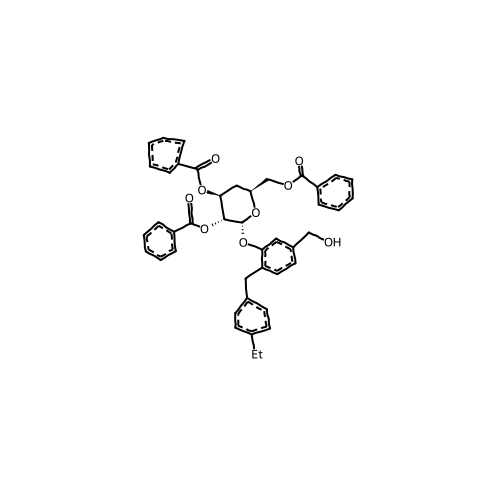 CCc1ccc(Cc2ccc(CO)cc2O[C@H]2O[C@H](COC(=O)c3ccccc3)C[C@H](OC(=O)c3ccccc3)[C@H]2OC(=O)c2ccccc2)cc1